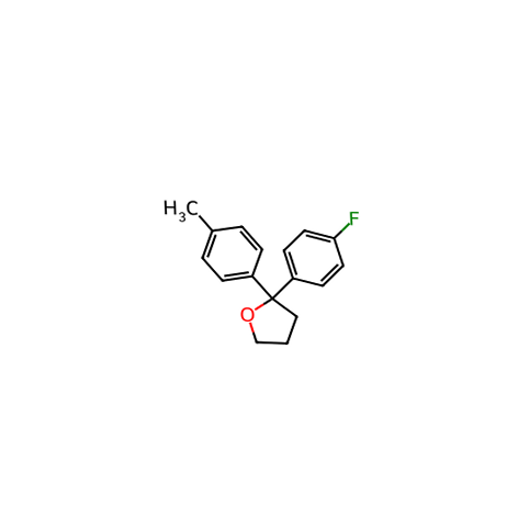 Cc1ccc(C2(c3ccc(F)cc3)CCCO2)cc1